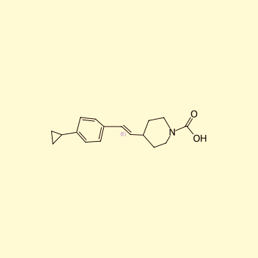 O=C(O)N1CCC(/C=C/c2ccc(C3CC3)cc2)CC1